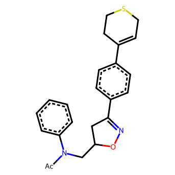 CC(=O)N(CC1CC(c2ccc(C3=CCSCC3)cc2)=NO1)c1ccccc1